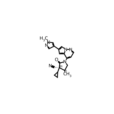 C[C@H]1CN(c2ccnn3cc(-c4cnn(C)c4)cc23)C(=O)[C@]1(C#N)C1CC1